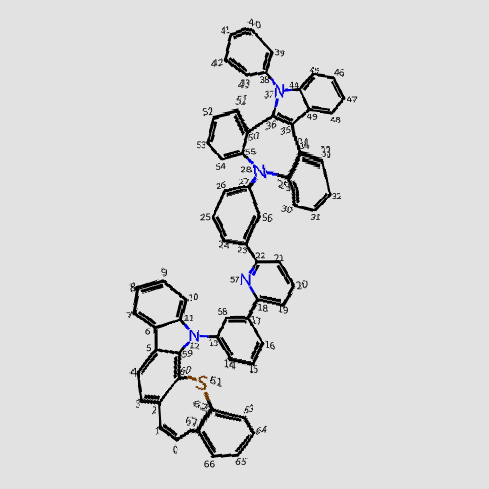 C1=Cc2ccc3c4ccccc4n(-c4cccc(-c5cccc(-c6cccc(N7c8ccccc8-c8c(n(-c9ccccc9)c9ccccc89)-c8ccccc87)c6)n5)c4)c3c2Sc2ccccc21